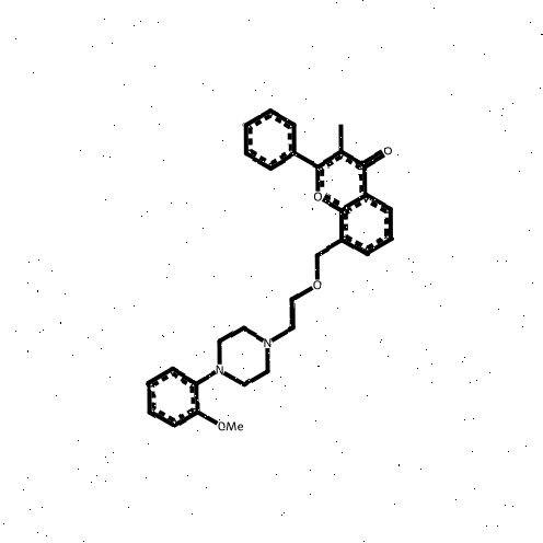 COc1ccccc1N1CCN(CCOCc2cccc3c(=O)c(C)c(-c4ccccc4)oc23)CC1